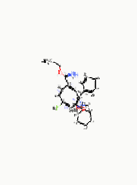 CCOC(=N)C1=C/C=C(C2(O)C3CCCC2CN(Cc2ccccc2)C3)\C=C(F)/C=C\1